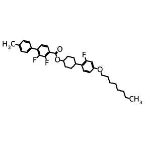 CCCCCCCCOc1ccc(C2CCC(OC(=O)c3ccc(-c4ccc(C)cc4)c(F)c3F)CC2)c(F)c1